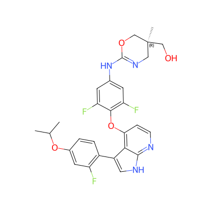 CC(C)Oc1ccc(-c2c[nH]c3nccc(Oc4c(F)cc(NC5=NC[C@](C)(CO)CO5)cc4F)c23)c(F)c1